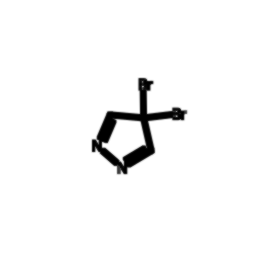 BrC1(Br)C=NN=C1